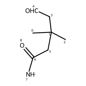 CC(C)(CC=O)CC([NH])=O